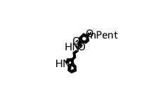 CCCCCOc1ccc(S(=O)(=O)NCCCc2c[nH]c3ccccc23)cc1